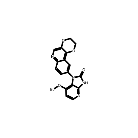 CCOc1ccnc2[nH]c(=O)n(-c3ccc4ncc5c(c4c3)OCCO5)c12